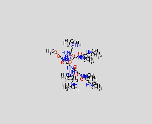 COCCOCCNC(=O)C(CCCCNC(=O)C(CCCCNC(=O)C(CCCCNC(C)(C)C)NC(C)(C)C)NC(=O)C(CCCCNC(C)(C)C)NC(C)(C)C)NC(=O)C(CCCCNC(=O)C(CCCCNC(C)(C)C)NC(C)(C)C)NC(=O)C(N)CCCCNC(C)(C)C